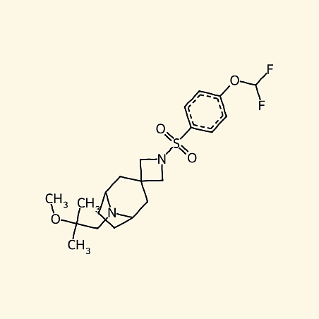 COC(C)(C)CN1C2CCC1CC1(C2)CN(S(=O)(=O)c2ccc(OC(F)F)cc2)C1